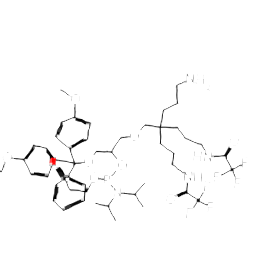 COc1ccc(C(OCC(COCC(CCCN)(CCCNC(=O)C(F)(F)F)CCCNC(=O)C(F)(F)F)OP(OCCC#N)N(C(C)C)C(C)C)(c2ccccc2)c2ccc(OC)cc2)cc1